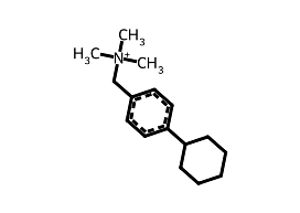 C[N+](C)(C)Cc1ccc(C2CCCCC2)cc1